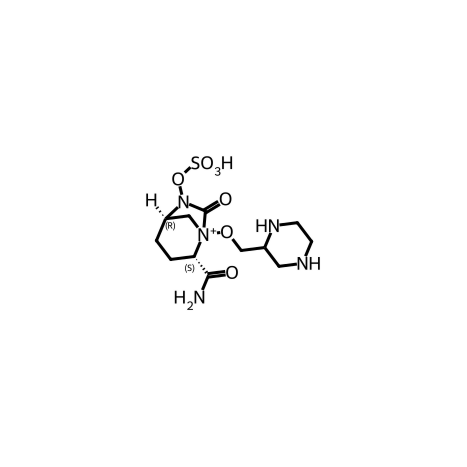 NC(=O)[C@@H]1CC[C@@H]2C[N+]1(OCC1CNCCN1)C(=O)N2OS(=O)(=O)O